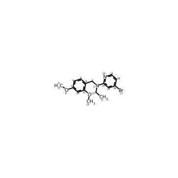 CCN(Cc1ccc(OC)cc1OC)c1cc(Br)ccn1